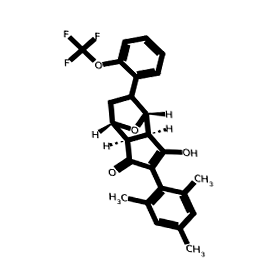 Cc1cc(C)c(C2=C(O)[C@H]3[C@@H](C2=O)[C@@H]2CC(c4ccccc4OC(F)(F)F)[C@H]3O2)c(C)c1